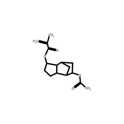 C=C(C)C(=O)OC1CCC2C3CC(CC3OC(C)=O)C12